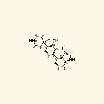 CC1(c2ccc(-c3ccnc4[nH]cc(F)c34)cc2Cl)CCNCC1